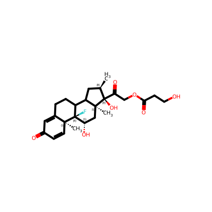 C[C@@H]1CC2C3CCC4=CC(=O)C=C[C@]4(C)[C@@]3(F)[C@@H](O)C[C@]2(C)[C@@]1(O)C(=O)COC(=O)CCO